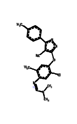 Cc1ccc(-c2nsc(Oc3cc(C)c(/N=C\N(C)C)cc3Cl)c2C#N)cc1